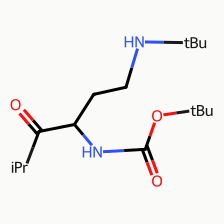 CC(C)C(=O)C(CCNC(C)(C)C)NC(=O)OC(C)(C)C